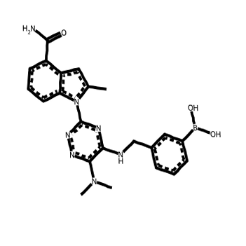 Cc1cc2c(C(N)=O)cccc2n1-c1nnc(N(C)C)c(NCc2cccc(B(O)O)c2)n1